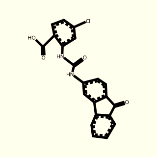 O=C(Nc1ccc2c(c1)-c1ccccc1C2=O)Nc1cc(Cl)ccc1C(=O)O